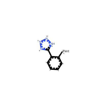 CCCC(C)c1ccccc1-c1nnn[nH]1